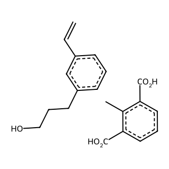 C=Cc1cccc(CCCO)c1.Cc1c(C(=O)O)cccc1C(=O)O